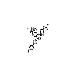 NS(=O)(=O)c1cc(Nc2ccc(OC(F)F)cc2)c(C(=O)N2CCC(c3ccc(F)cc3)CC2)cn1